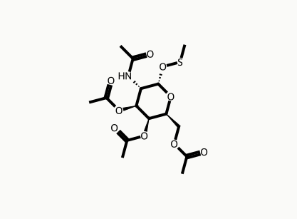 CSO[C@@H]1O[C@@H](COC(C)=O)[C@@H](OC(C)=O)[C@@H](OC(C)=O)[C@@H]1NC(C)=O